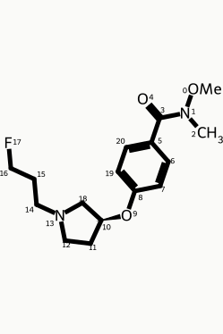 CON(C)C(=O)c1ccc(O[C@H]2CCN(CCCF)C2)cc1